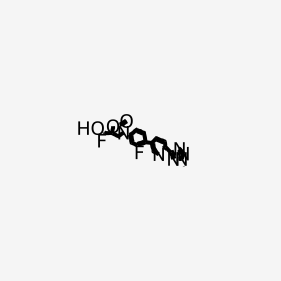 Cn1nnc(-c2ccc(-c3ccc(N4CC(C(O)F)OC4=O)cc3F)cn2)n1